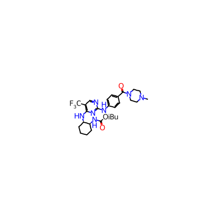 CC(C)COC(=O)N[C@H]1CCCC[C@H]1Nc1nc(Nc2ccc(C(=O)N3CCN(C)CC3)cc2)ncc1C(F)(F)F